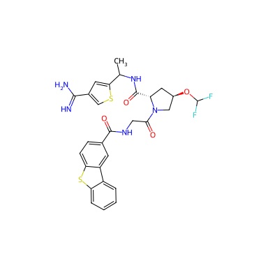 CC(NC(=O)[C@@H]1C[C@@H](OC(F)F)CN1C(=O)CNC(=O)c1ccc2sc3ccccc3c2c1)c1cc(C(=N)N)cs1